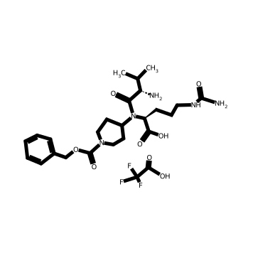 CC(C)[C@H](N)C(=O)N(C1CCN(C(=O)OCc2ccccc2)CC1)[C@@H](CCCNC(N)=O)C(=O)O.O=C(O)C(F)(F)F